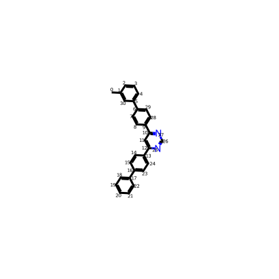 Cc1cccc(-c2ccc(-c3cc(-c4ccc(-c5ccccc5)cc4)ncn3)cc2)c1